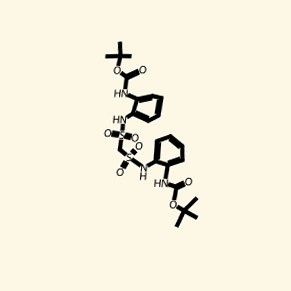 CC(C)(C)OC(=O)Nc1ccccc1NS(=O)(=O)CS(=O)(=O)Nc1ccccc1NC(=O)OC(C)(C)C